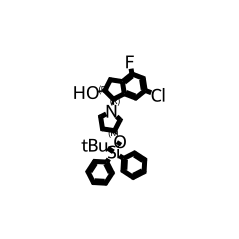 CC(C)(C)[Si](O[C@@H]1CCN([C@@H]2c3cc(Cl)cc(F)c3C[C@H]2O)C1)(c1ccccc1)c1ccccc1